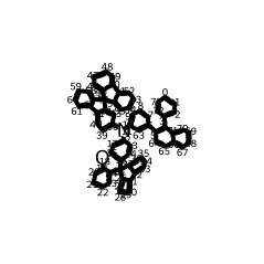 c1ccc(-c2c(-c3cccc(N(c4ccc5c(c4)Oc4ccccc4C54c5ccccc5-c5ccccc54)c4ccc5c(c4)C4(c6ccccc6-c6ccccc64)c4ccccc4-5)c3)ccc3ccccc23)cc1